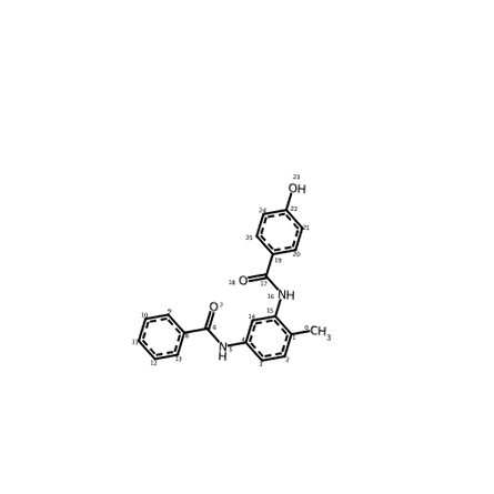 Cc1ccc(NC(=O)c2ccccc2)cc1NC(=O)c1ccc(O)cc1